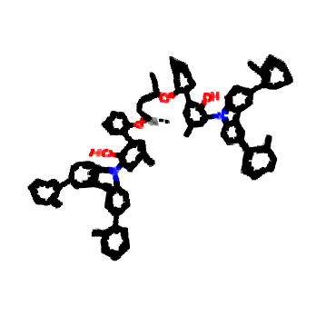 Cc1cc(-c2ccccc2OC(C)C[C@H](C)Oc2ccccc2-c2cc(C)cc(-n3c4ccc(-c5ccccc5C)cc4c4cc(-c5ccccc5C)ccc43)c2O)c(O)c(-n2c3ccc(-c4ccccc4C)cc3c3cc(-c4ccccc4C)ccc32)c1